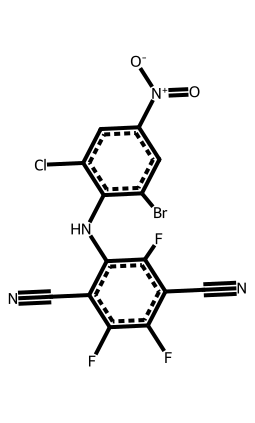 N#Cc1c(F)c(F)c(C#N)c(Nc2c(Cl)cc([N+](=O)[O-])cc2Br)c1F